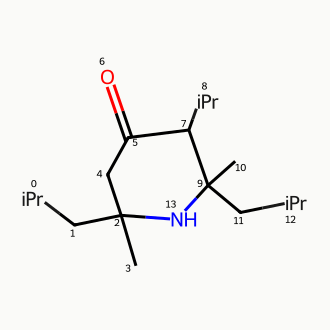 CC(C)CC1(C)CC(=O)C(C(C)C)C(C)(CC(C)C)N1